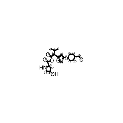 CC(C)[C@H](C(=O)OC(=O)C1CC(O)CN1)c1cc(N2CCC(C=O)CC2)no1